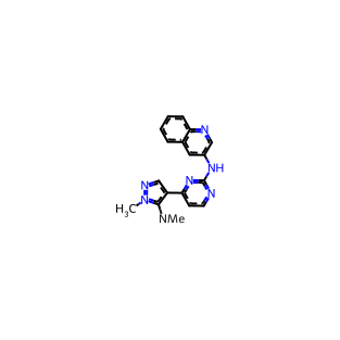 CNc1c(-c2ccnc(Nc3cnc4ccccc4c3)n2)cnn1C